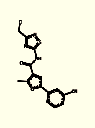 Cc1oc(-c2cccc(C#N)c2)cc1C(=O)Nc1nc(CCl)ns1